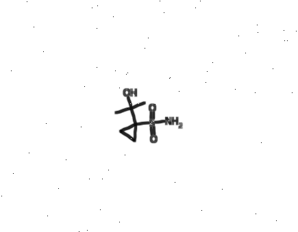 CC(C)(O)C1(S(N)(=O)=O)CC1